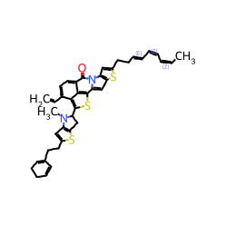 C=Cc1ccc2c(=O)n3c4cc(CC/C=C/C=C\C=C/C)sc4cc3c3sc(C4Cc5sc(CCC6=CCCC=C6)cc5N4C)c1c23